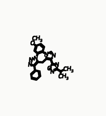 COc1ccc2c(c1)-n1nnc(-c3ccccc3)c1Cc1c(-c3nc(C(C)C)no3)ncn1-2